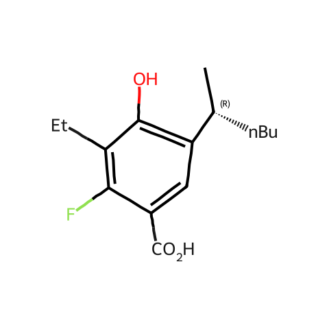 CCCC[C@@H](C)c1cc(C(=O)O)c(F)c(CC)c1O